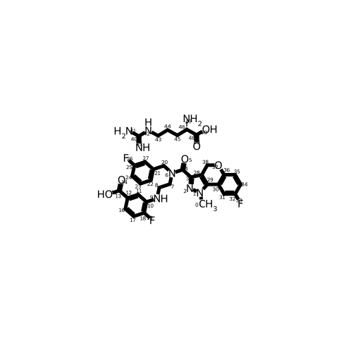 Cn1nc(C(=O)N(CCNc2cc(C(=O)O)ccc2F)Cc2cccc(F)c2)c2c1-c1cc(F)ccc1OC2.N=C(N)NCCC[C@H](N)C(=O)O